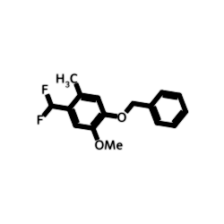 COc1cc(C(F)F)c(C)cc1OCc1ccccc1